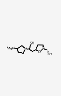 CNC1CCN(C(S)CC2CCN(SS)O2)C1